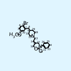 COc1ccc(Br)c(CC2CCN(CCC3COC(=O)N(c4ccccc4)C3)CC2)c1